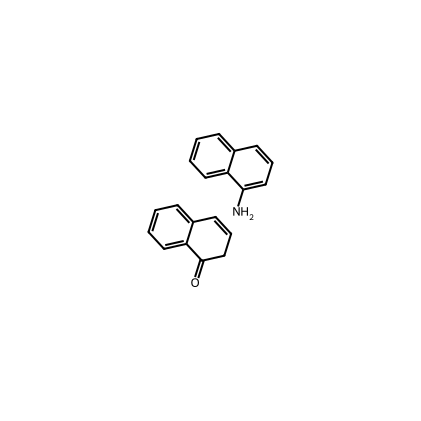 Nc1cccc2ccccc12.O=C1CC=Cc2ccccc21